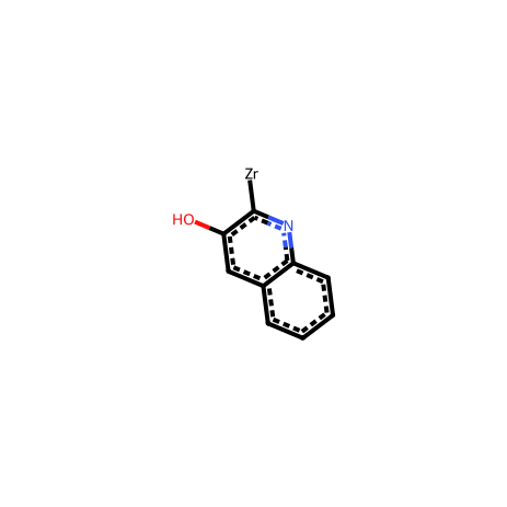 Oc1cc2ccccc2n[c]1[Zr]